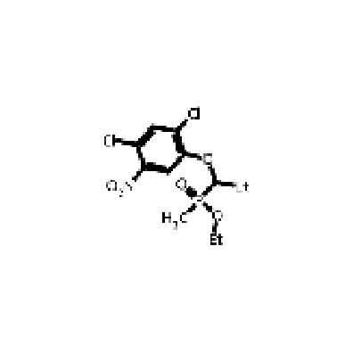 CCOP(C)(=O)C(CC)Oc1cc([N+](=O)[O-])c(Cl)cc1Cl